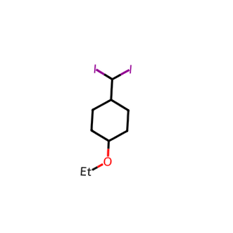 CCOC1CCC(C(I)I)CC1